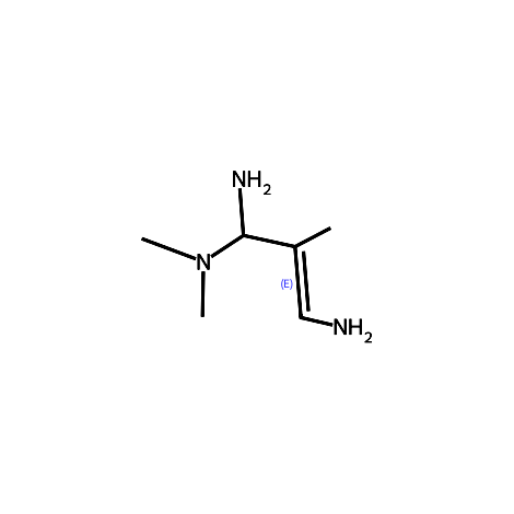 C/C(=C\N)C(N)N(C)C